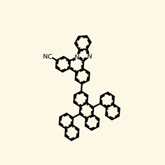 N#Cc1ccc2c3cc(-c4ccc5c(-c6cccc7ccccc67)c6ccccc6c(-c6cccc7ccccc67)c5c4)ccc3c3nc4ccccc4n3c2c1